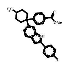 COC(=O)c1ccc(C2(c3ccc4cc(-c5ccc(F)cc5)[nH]c4c3)CCC(C(F)(F)F)CC2)cc1